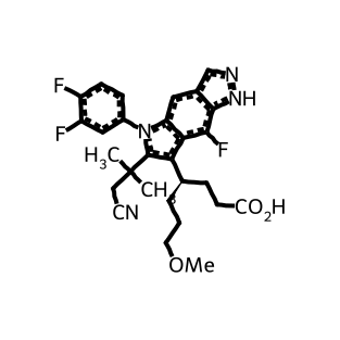 COCCC[C@H](CCC(=O)O)c1c(C(C)(C)CC#N)n(-c2ccc(F)c(F)c2)c2cc3cn[nH]c3c(F)c12